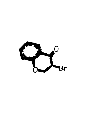 O=C1c2ccccc2OCC1Br